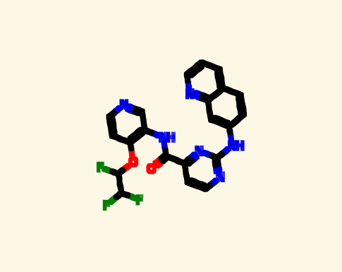 O=C(Nc1cnccc1OC(F)C(F)F)c1ccnc(Nc2ccc3cccnc3c2)n1